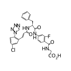 O=C(O)CNC(=O)c1ccc(NC(=O)[C@H](Cc2ccccc2)NC(=O)C=Cc2cc(Cl)ccc2-n2cnnn2)cc1F